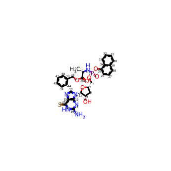 C[C@H](NP(=O)(OC[C@@H]1C[C@H](O)[C@H](n2cnc3c(=S)[nH]c(N)nc32)O1)Oc1cccc2ccccc12)C(=O)OCc1ccccc1